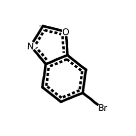 Brc1ccc2n[c]oc2c1